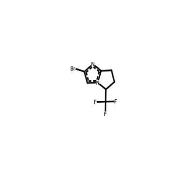 FC(F)(F)C1CCc2nc(Br)cn21